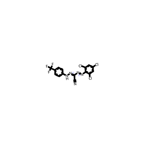 N#CC(/N=N/c1c(Cl)cc(Cl)cc1Cl)=N\Nc1ccc(C(F)(F)F)cc1